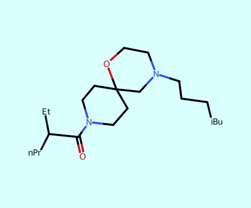 CCCC(CC)C(=O)N1CCC2(CC1)CN(CCCC(C)CC)CCO2